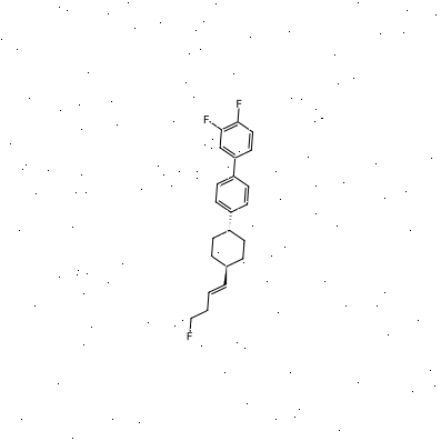 FCCC=C[C@H]1CC[C@H](c2ccc(-c3ccc(F)c(F)c3)cc2)CC1